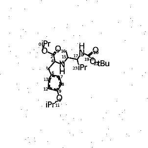 CC(C)OC(=O)C(Cc1ccc(OC(C)C)cc1)NC(C)C(NC(=O)OC(C)(C)C)C(C)C